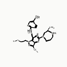 CCOCCn1nc(C)c2nc(N3CCN[C@H](C)C3)nc(Nc3ccc(OC)cn3)c21